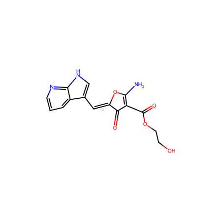 NC1=C(C(=O)OCCO)C(=O)/C(=C/c2c[nH]c3ncccc23)O1